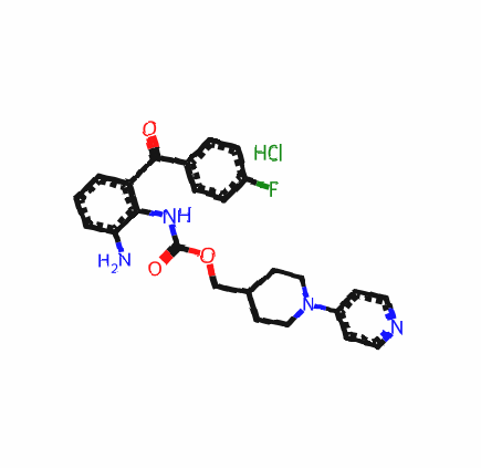 Cl.Nc1cccc(C(=O)c2ccc(F)cc2)c1NC(=O)OCC1CCN(c2ccncc2)CC1